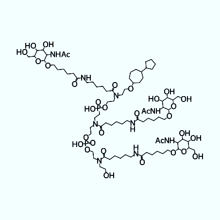 CC(=O)NC1C(OCCCCCC(=O)NCCCCCC(=O)N(CCOC2CCCC(C3CCCC3)CC2)CCOP(=O)(O)CCN(CCOP(=O)(O)OCCN(CCO)C(=O)CCCCCNC(=O)CCCCCOC2OC(CO)C(O)C(O)C2NC(C)=O)C(=O)CCCCCNC(=O)CCCCCOC2OC(CO)C(O)C(O)C2NC(C)=O)OC(CO)C(O)C1O